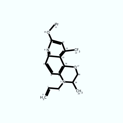 C=CCN1c2ccc3nc(OC(C)C)cc(C(F)(F)F)c3c2OCC1C